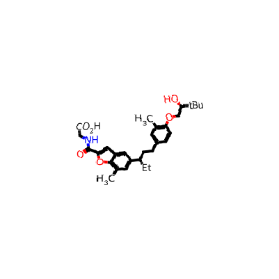 CCC(CCc1ccc(OCC(O)C(C)(C)C)c(C)c1)c1cc(C)c2oc(C(=O)NCC(=O)O)cc2c1